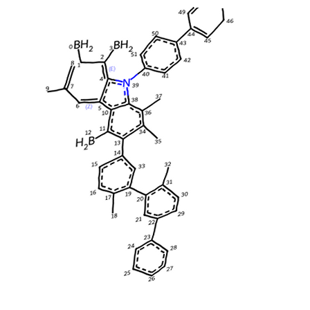 BC/C(B)=c1\c(=C/C(=C)C)c2c(B)c(-c3ccc(C)c(-c4cc(-c5ccccc5)ccc4C)c3)c(C)c(C)c2n1-c1ccc(C2=CCCC=C2)cc1